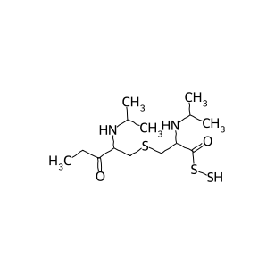 CCC(=O)C(CSCC(NC(C)C)C(=O)SS)NC(C)C